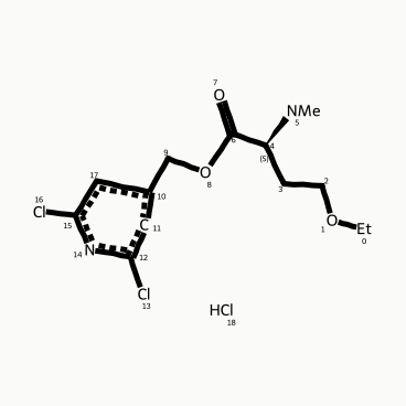 CCOCC[C@H](NC)C(=O)OCc1cc(Cl)nc(Cl)c1.Cl